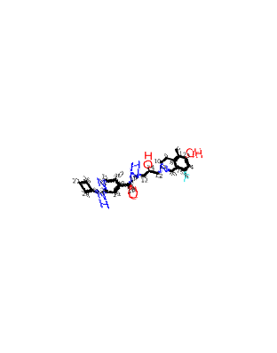 Cc1c(O)cc(F)c2c1CCN(C[C@@H](O)CNC(=O)c1ccnc(NC3CCC3)c1)C2